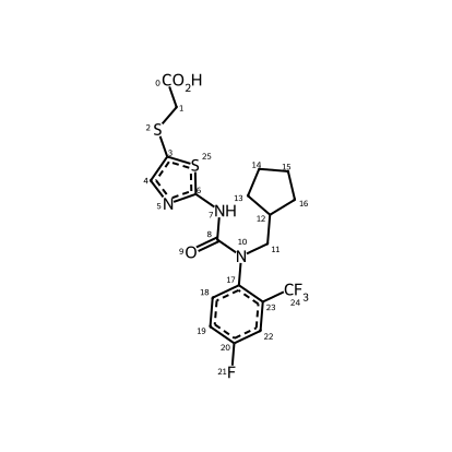 O=C(O)CSc1cnc(NC(=O)N(CC2CCCC2)c2ccc(F)cc2C(F)(F)F)s1